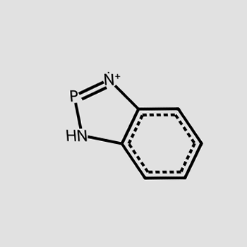 c1ccc2c(c1)[N+]=PN2